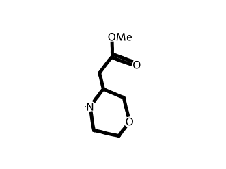 COC(=O)CC1COCC[N]1